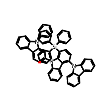 c1ccc(-n2c3ccccc3c3ccc(-n4c5ccccc5c5c(-n6c7ccccc7c7ccccc76)ccc([Si](c6ccccc6)(c6ccccc6)c6ccccc6)c54)cc32)cc1